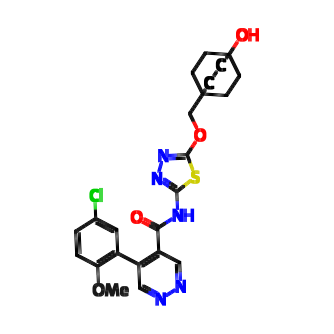 COc1ccc(Cl)cc1-c1cnncc1C(=O)Nc1nnc(OCC23CCC(O)(CC2)CC3)s1